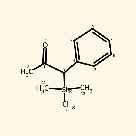 CC(=O)C(c1ccccc1)[Si](C)(C)C